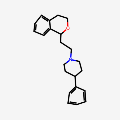 c1ccc(C2CCN(CCC3OCCc4ccccc43)CC2)cc1